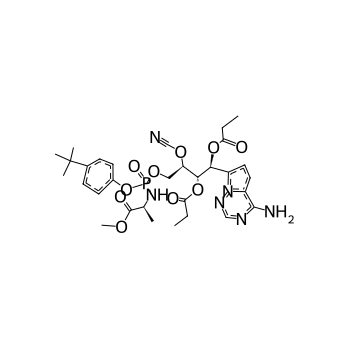 CCC(=O)O[C@H]([C@@H](COP(=O)(N[C@@H](C)C(=O)OC)Oc1ccc(C(C)(C)C)cc1)OC#N)[C@@H](OC(=O)CC)c1ccc2c(N)ncnn12